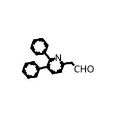 O=CCc1ccc(-c2ccccc2)c(-c2ccccc2)n1